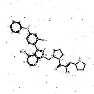 N#C/C(=C\C1CCCN1)C(=O)N1CCC[C@@H]1Cn1nc(-c2ccc(Oc3ccccc3)cc2F)c2c(N)ncnc21